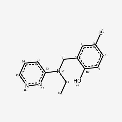 CCN(Cc1cc(Br)ccc1O)c1cccnn1